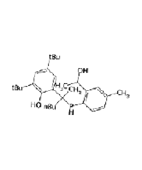 CCCCC(C)(Pc1ccc(C)cc1C(C)O)c1cc(C(C)(C)C)cc(C(C)(C)C)c1O